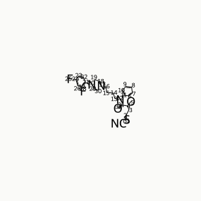 N#CSCCC1Oc2ccccc2N(CCCCN2CCN(c3ccc(F)cc3F)CC2)C1=O